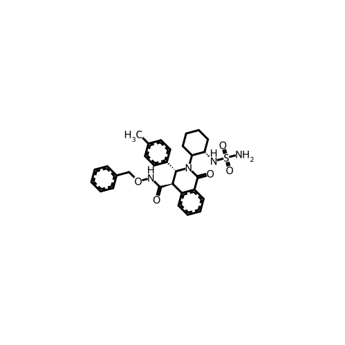 Cc1ccc([C@H]2[C@H](C(=O)NOCc3ccccc3)c3ccccc3C(=O)N2C2CCCC[C@@H]2NS(N)(=O)=O)cc1